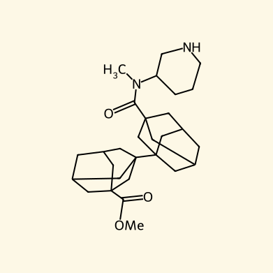 COC(=O)C12CC3CC(C1)CC(C14CC5CC(CC(C(=O)N(C)C6CCCNC6)(C5)C1)C4)(C3)C2